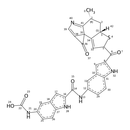 C[C@@H]1C[C@@H]2SC(C(=O)c3cc4cc(NC(=O)c5cc6cc(NC(=O)O)ccc6[nH]5)ccc4[nH]3)C=C2C23C(=O)C2=CN=C13